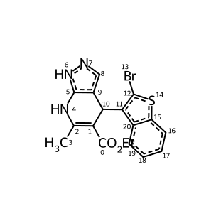 CCOC(=O)C1=C(C)Nc2[nH]ncc2C1c1c(Br)sc2ccccc12